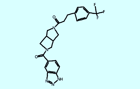 O=C(CCc1ccc(C(F)(F)F)cc1)N1CC2CN(C(=O)c3ccc4[nH]nnc4c3)CC2C1